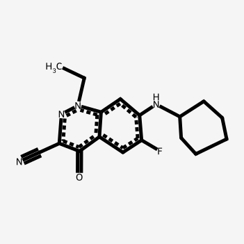 CCn1nc(C#N)c(=O)c2cc(F)c(NC3CCCCC3)cc21